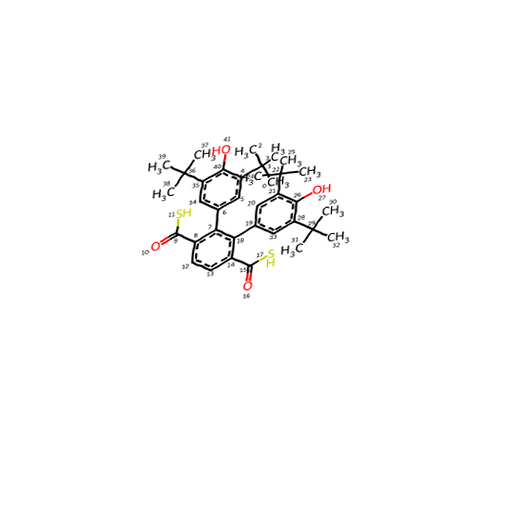 CC(C)(C)c1cc(-c2c(C(=O)S)ccc(C(=O)S)c2-c2cc(C(C)(C)C)c(O)c(C(C)(C)C)c2)cc(C(C)(C)C)c1O